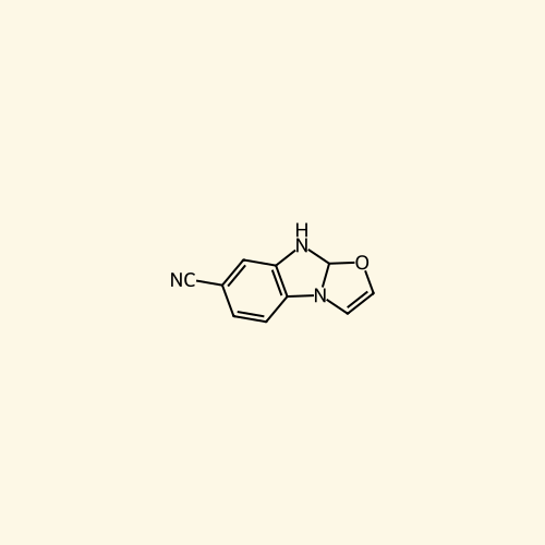 N#Cc1ccc2c(c1)NC1OC=CN21